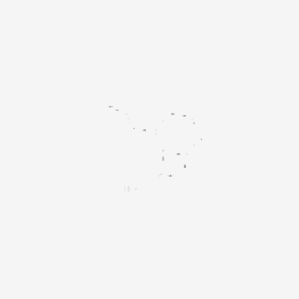 C=CCC1CCN[C@H]2CC(C(=O)O)C12